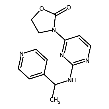 CC(Nc1nccc(N2CCOC2=O)n1)c1ccncc1